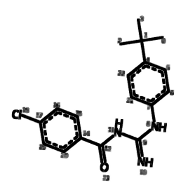 CC(C)(C)c1ccc(NC(=N)NC(=O)c2ccc(Cl)cc2)cc1